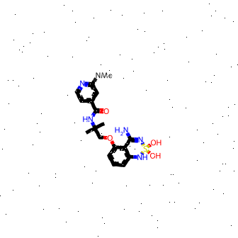 CNc1cc(C(=O)NC(C)(C)COc2cccc3c2C(N)=NS(O)(O)N3)ccn1